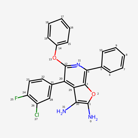 Nc1oc2c(-c3ccccc3)nc(Oc3ccccc3)c(-c3ccc(F)c(Cl)c3)c2c1N